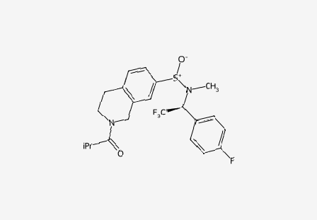 CC(C)C(=O)N1CCc2ccc([S+]([O-])N(C)[C@@H](c3ccc(F)cc3)C(F)(F)F)cc2C1